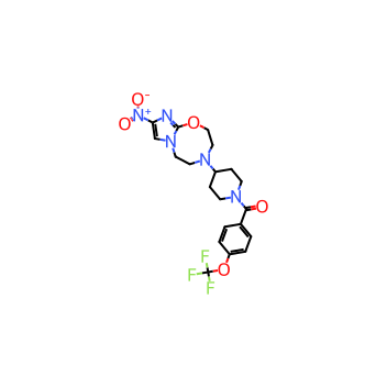 O=C(c1ccc(OC(F)(F)F)cc1)N1CCC(N2CCOc3nc([N+](=O)[O-])cn3CC2)CC1